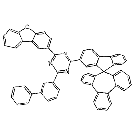 c1ccc(-c2cccc(-c3nc(-c4ccc5c(c4)C4(c6ccccc6-c6ccccc6-c6ccccc64)c4ccccc4-5)nc(-c4ccc5oc6ccccc6c5c4)n3)c2)cc1